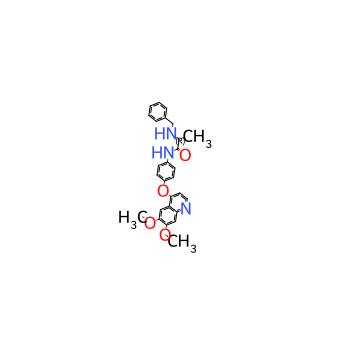 COc1cc2nccc(Oc3ccc(NC(=O)[C@@H](C)NCc4ccccc4)cc3)c2cc1OC